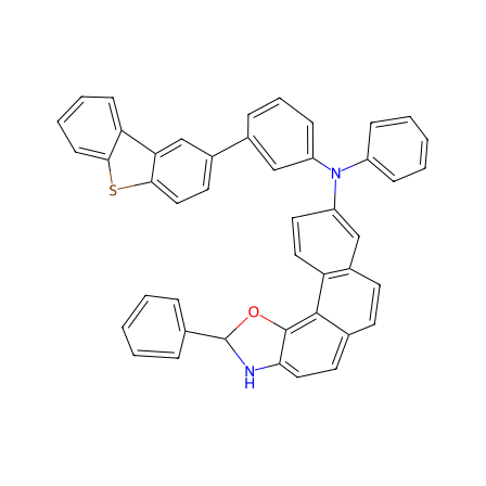 c1ccc(C2Nc3ccc4ccc5cc(N(c6ccccc6)c6cccc(-c7ccc8sc9ccccc9c8c7)c6)ccc5c4c3O2)cc1